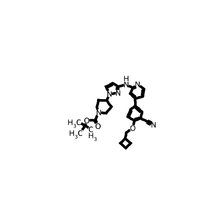 CC(C)(C)OC(=O)N1CCC(n2ccc(Nc3cc(-c4ccc(OCC5CCC5)c(C#N)c4)ccn3)n2)CC1